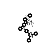 CC1(C)c2cc3c(cc2-c2ccc4c(c21)Sc1ccccc1S4)c1ccccc1n3-c1ccc(-c2cc(-c3ccccc3)nc(-c3ccccc3)n2)cc1